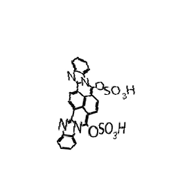 O=S(=O)(O)Oc1c2ccc3c(OS(=O)(=O)O)n4c5ccccc5nc4c4ccc(c2c34)c2nc3ccccc3n12